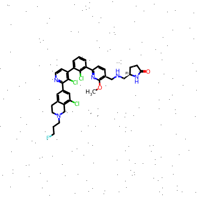 COc1nc(-c2cccc(-c3ccnc(-c4cc(Cl)c5c(c4)CCN(CCCF)C5)c3Cl)c2Cl)ccc1CNC[C@H]1CCC(=O)N1